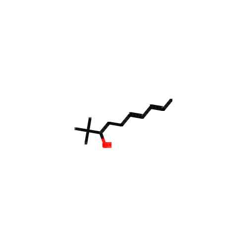 CC=CC=CCCC(O)C(C)(C)C